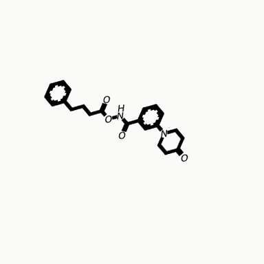 O=C1CCN(c2cccc(C(=O)NOC(=O)CCCc3ccccc3)c2)CC1